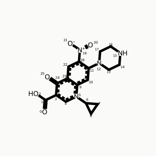 O=C(O)c1cn(C2CC2)c2cc(N3CCNCC3)c([N+](=O)[O-])cc2c1=O